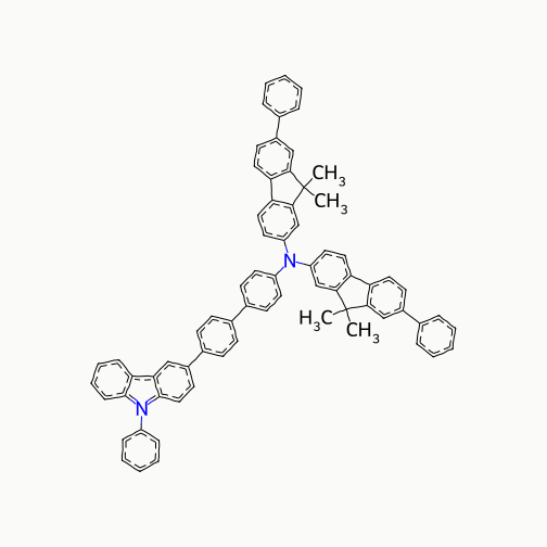 CC1(C)c2cc(-c3ccccc3)ccc2-c2ccc(N(c3ccc(-c4ccc(-c5ccc6c(c5)c5ccccc5n6-c5ccccc5)cc4)cc3)c3ccc4c(c3)C(C)(C)c3cc(-c5ccccc5)ccc3-4)cc21